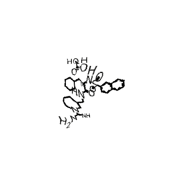 N=C(N)N1CCCC(CNC(=O)[C@@H](CC2CCCCC2)NS(=O)(=O)c2ccc3ccccc3c2)C1.O=S(O)O